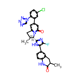 CC1Cc2cc(-c3[nH]c([C@@H]4[C@@H](C)Cc5cc(-c6cc(Cl)ccc6-n6cnnn6)cc(=O)n54)nc3F)ccc2NC1=O